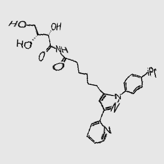 CC(C)c1ccc(-n2nc(-c3ccccn3)cc2CCCCCC(=O)NC(=O)[C@@H](O)[C@H](O)CO)cc1